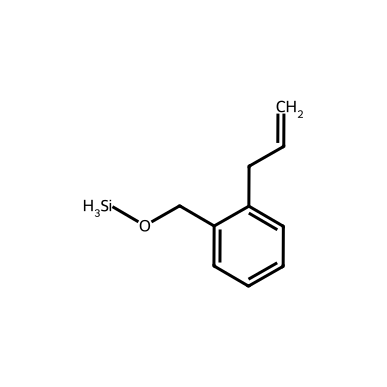 C=CCc1ccccc1CO[SiH3]